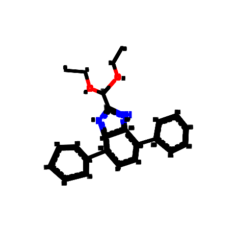 CCOC(OCC)c1nc2c(-c3ccccc3)ccc(-c3ccccc3)c2[nH]1